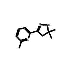 Cc1cccc(C2=NNC(C)(C)C2)n1